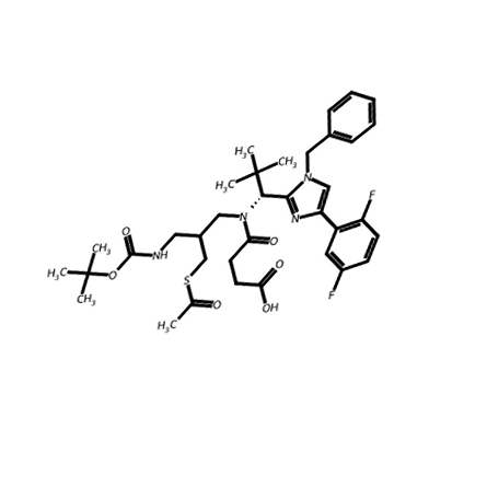 CC(=O)SCC(CNC(=O)OC(C)(C)C)CN(C(=O)CCC(=O)O)[C@@H](c1nc(-c2cc(F)ccc2F)cn1Cc1ccccc1)C(C)(C)C